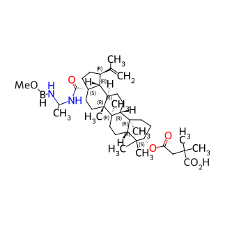 C=C(C)[C@@H]1CC[C@]2(C(=O)NC(C)NBOC)CC[C@]3(C)[C@H](CC[C@@H]4[C@@]5(C)CC[C@H](OC(=O)CC(C)(C)C(=O)O)C(C)(C)[C@@H]5CC[C@]43C)[C@@H]12